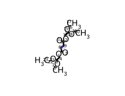 CCOC(COC(=O)/C=C/C(=O)OCC(OCC)OCC)OCC